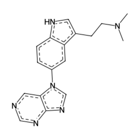 CN(C)CCc1c[nH]c2ccc(-n3cnc4ncncc43)cc12